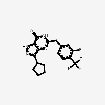 O=c1[nH]c(Cc2ccc(C(F)(F)F)c(F)c2)nc2c(C3CCCC3)n[nH]c12